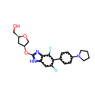 OC[C@@H]1C[C@H](Oc2nc3c(F)c(-c4ccc(N5CCCC5)cc4)c(F)cc3[nH]2)CO1